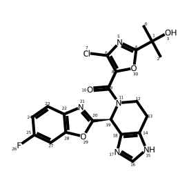 CC(C)(O)c1nc(Cl)c(C(=O)N2CCc3[nH]cnc3[C@H]2c2nc3ccc(F)cc3o2)o1